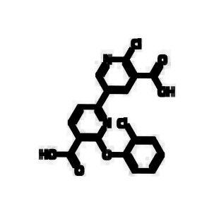 O=C(O)c1cc(-c2ccc(C(=O)O)c(Oc3ccccc3Cl)n2)cnc1Cl